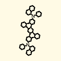 c1ccc(N(c2ccc3c(c2)c2ccccc2c2cc4c5ccc(N(c6ccccc6)c6cccc7ccccc67)cc5c5ccccc5c4cc32)c2cccc3ccccc23)cc1